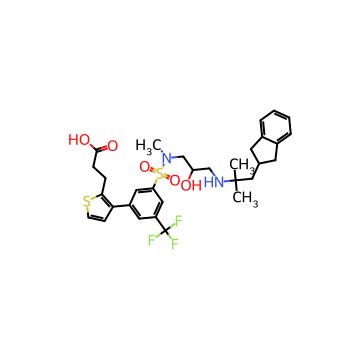 CN(CC(O)CNC(C)(C)CC1Cc2ccccc2C1)S(=O)(=O)c1cc(-c2ccsc2CCC(=O)O)cc(C(F)(F)F)c1